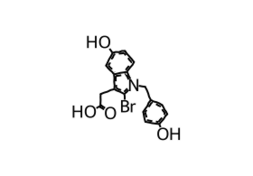 O=C(O)Cc1c(Br)n(Cc2ccc(O)cc2)c2ccc(O)cc12